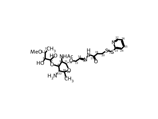 CO[C@H](C)C(O)C(O)OC1C(NC(C)=O)[C@H](OC/C=N/NC(=O)CCSSc2ccccn2)OC(C)[C@@H]1N